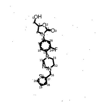 O=C1OC(CO)CN1c1ccc(N2C=NN(Cc3cccs3)CC2)c(F)c1